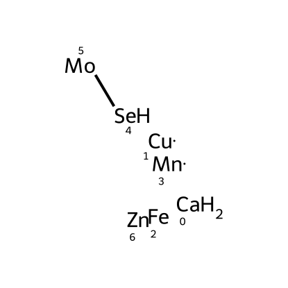 [CaH2].[Cu].[Fe].[Mn].[SeH][Mo].[Zn]